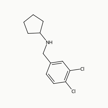 Clc1ccc(CNC2CCCC2)cc1Cl